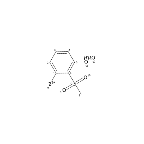 [B+2]c1ccccc1S(C)(=O)=O.[OH-].[OH-]